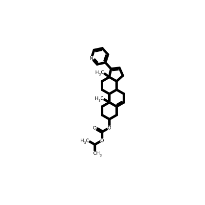 CC(C)OC(=O)OC1CCC2(C)C(=CCC3C2CCC2(C)C(c4cccnc4)=CCC32)C1